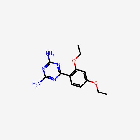 CCOc1ccc(-c2nc(N)nc(N)n2)c(OCC)c1